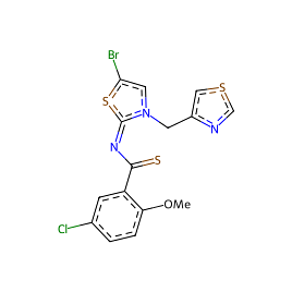 COc1ccc(Cl)cc1C(=S)N=c1sc(Br)cn1Cc1cscn1